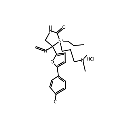 C=NC1(c2ccc(-c3ccc(Cl)cc3)o2)CNC(=O)[N+]1(CCC)CCCN(C)C.Cl